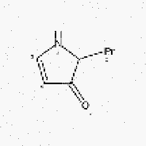 CC(C)C1NC=CC1=O